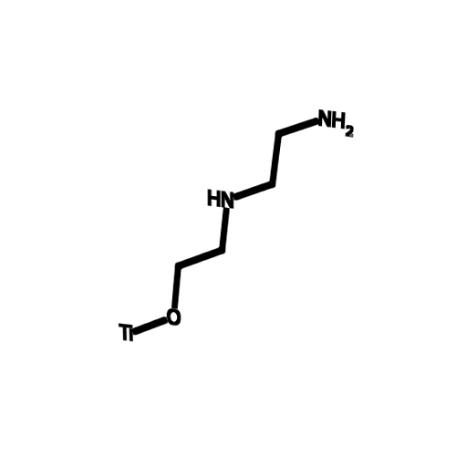 NCCNCC[O][Ti]